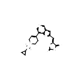 O=C1NC(=O)C(=Cc2cc3cncc(C4=CCN(S(=O)(=O)C5CC5)CC4)c3o2)S1